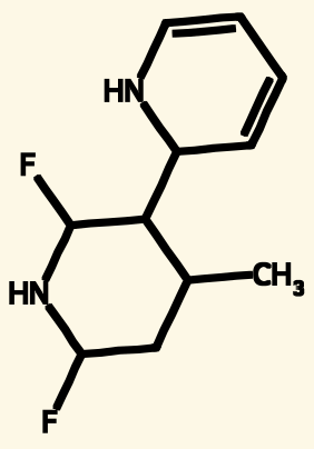 CC1CC(F)NC(F)C1C1C=CC=CN1